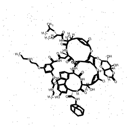 CCNCCOc1cc(OCCNCC)cc(C(=O)NC(=O)C[C@@H]2NC(=O)[C@H](NC(=O)[C@@H](CC(C)C)NC)[C@H](O)c3ccc(c(Cl)c3)Oc3cc4cc(c3O[C@@H]3O[C@@H]5CNC(=O)O[C@H]5[C@H](O)[C@H]3O)Oc3ccc(cc3Cl)[C@@H](O)[C@@H]3NC(=O)[C@H](NC(=O)[C@@H]4NC2=O)c2ccc4c(c2)-c2c(cc(O)cc2C4(O)O)[C@@H](C(=O)NC2C4CC5CC(C4)CC2C5)NC3=O)c1